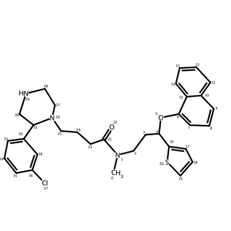 CN(CCC(Oc1cccc2ccccc12)c1cccs1)C(=O)CCCN1CCNCC1c1cccc(Cl)c1